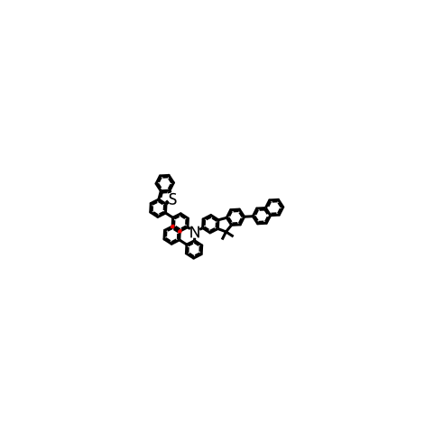 CC1(C)c2cc(-c3ccc4ccccc4c3)ccc2-c2ccc(N(c3ccc(-c4cccc5c4sc4ccccc45)cc3)c3ccccc3-c3ccccc3)cc21